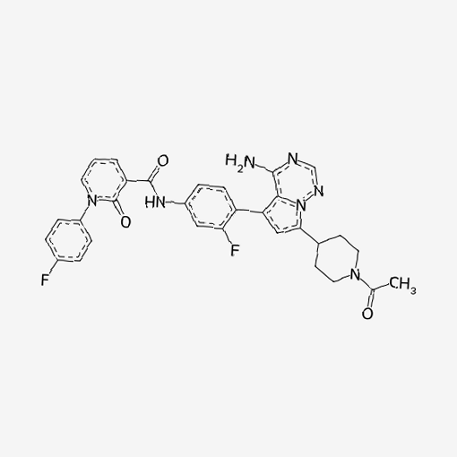 CC(=O)N1CCC(c2cc(-c3ccc(NC(=O)c4cccn(-c5ccc(F)cc5)c4=O)cc3F)c3c(N)ncnn23)CC1